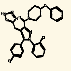 O=C(c1nn(-c2ccccc2Cl)c(-c2ccc(Cl)cc2)c1Cc1nn[nH]n1)N1CCC(Oc2ccccc2)CC1